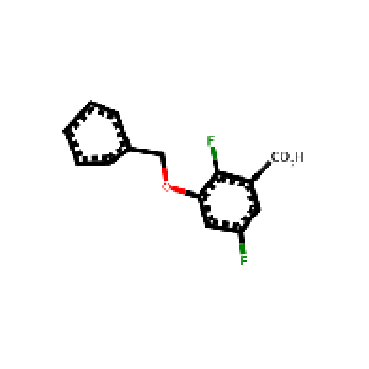 O=C(O)c1cc(F)cc(OCc2ccccc2)c1F